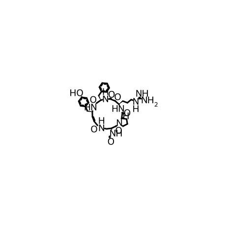 N=C(N)NCCC[C@H]1NC(=O)[C@@H]2CCCN2C(=O)[C@@H](NC=O)CNC(=O)/C=C\[C@@H](Cc2ccc(O)cc2)NC(=O)[C@@H](Cc2ccccc2)NC(=O)C1=O